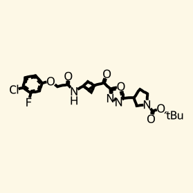 CC(C)(C)OC(=O)N1CCC(c2nnc(C(=O)C34CC(NC(=O)COc5ccc(Cl)c(F)c5)(C3)C4)o2)C1